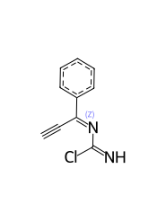 C#C/C(=N\C(=N)Cl)c1ccccc1